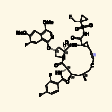 COc1cc2c(OC)cnc(O[C@@H]3C[C@H]4C(=O)NC5(C(=O)NS(=O)(=O)C6(CF)CC6)CC5/C=C\CC[C@@H](C)C[C@@H](C)[C@H](NC(=O)c5ccc(F)cc5F)C(=O)N4C3)c2cc1F